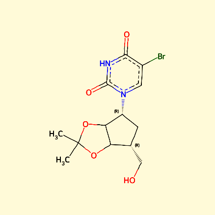 CC1(C)OC2C(O1)[C@H](n1cc(Br)c(=O)[nH]c1=O)C[C@@H]2CO